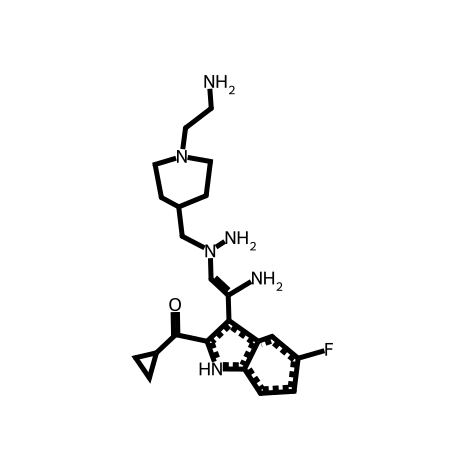 NCCN1CCC(CN(N)/C=C(\N)c2c(C(=O)C3CC3)[nH]c3ccc(F)cc23)CC1